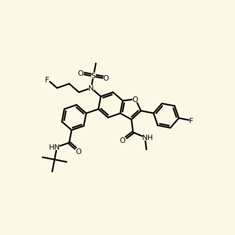 CNC(=O)c1c(-c2ccc(F)cc2)oc2cc(N(CCCF)S(C)(=O)=O)c(-c3cccc(C(=O)NC(C)(C)C)c3)cc12